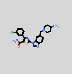 NC(=O)c1sc(-n2cnc3ccc(CN4CCC(N)CC4)cc32)nc1-c1cccc(Cl)c1